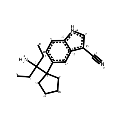 CCC(N)(CC)C1(c2ccc3[nH]cc(C#N)c3c2)CCCC1